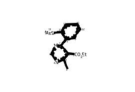 CCOC(=O)c1c(C)ncnc1-c1ccccc1SC